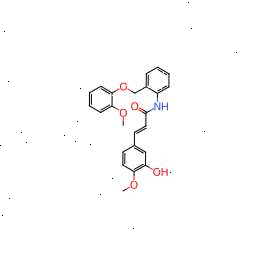 COc1ccc(C=CC(=O)Nc2ccccc2COc2ccccc2OC)cc1O